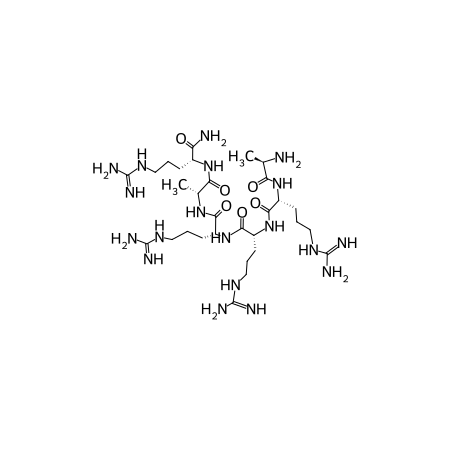 C[C@@H](N)C(=O)N[C@H](CCCNC(=N)N)C(=O)N[C@H](CCCNC(=N)N)C(=O)N[C@H](CCCNC(=N)N)C(=O)N[C@H](C)C(=O)N[C@H](CCCNC(=N)N)C(N)=O